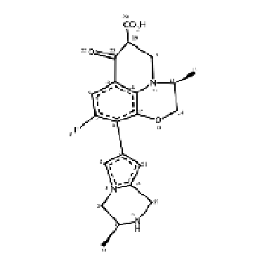 C[C@H]1Cn2cc(-c3c(F)cc4c5c3OC[C@H](C)N5CC(C(=O)O)C4=O)cc2CN1